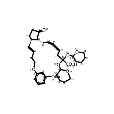 COc1cccc(OCC/C=C/[C@H]2CCC(=O)[C@@H]2CC=C=CCC(OC2CCCCO2)(OC2CCCCO2)C(=O)O)c1